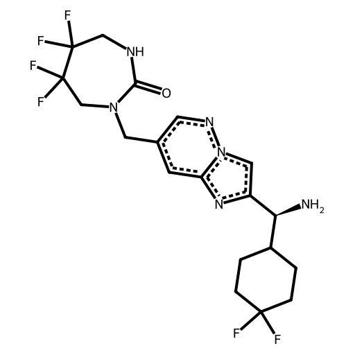 N[C@H](c1cn2ncc(CN3CC(F)(F)C(F)(F)CNC3=O)cc2n1)C1CCC(F)(F)CC1